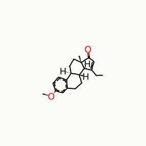 CCC1=CC(=O)[C@@]2(C)CC[C@@H]3c4ccc(OC)cc4CC[C@H]3[C@H]12